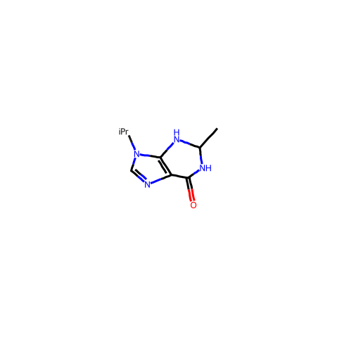 CC1NC(=O)c2ncn(C(C)C)c2N1